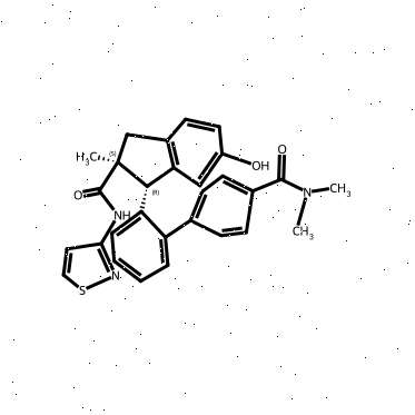 CN(C)C(=O)c1ccc(-c2ccccc2[C@H]2c3cc(O)ccc3C[C@]2(C)C(=O)Nc2ccsn2)cc1